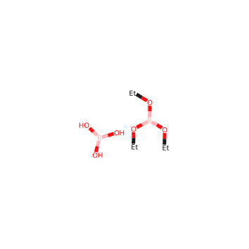 CCOB(OCC)OCC.OB(O)O